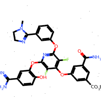 CCOC(=O)c1cc(Oc2c(F)c(Oc3cccc(C4=NCCN4C)c3)nc(Oc3cc(C(=N)N)ccc3O)c2F)cc(C(N)=O)c1